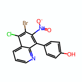 O=[N+]([O-])c1c(Br)c(Cl)c2cccnc2c1-c1ccc(O)cc1